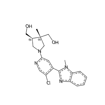 Cn1c(-c2cc(N3C[C@@H](CO)[C@](C)(CO)C3)ncc2Cl)nc2ccccc21